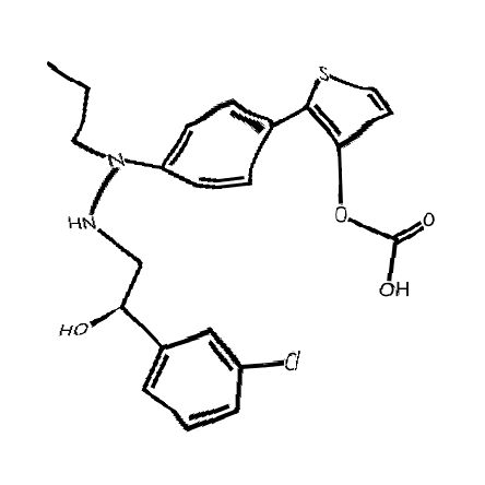 CCCN(NC[C@H](O)c1cccc(Cl)c1)c1ccc(-c2sccc2OC(=O)O)cc1